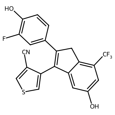 N#Cc1cscc1C1=C(c2ccc(O)c(F)c2)Cc2c1cc(O)cc2C(F)(F)F